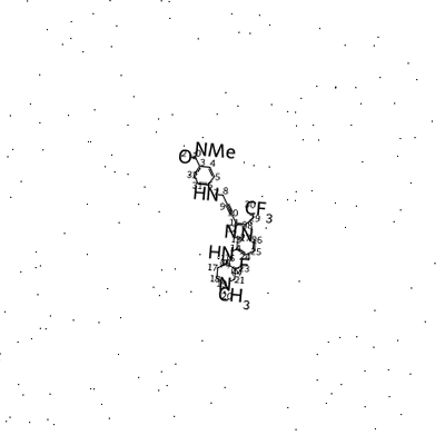 CNC(=O)c1ccc(NCC#Cc2nc3c(N[C@@H]4CCN(C)C[C@@H]4F)cccn3c2CC(F)(F)F)cc1